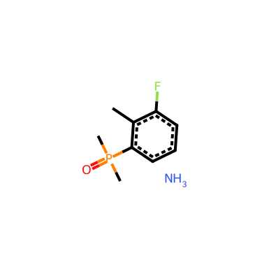 Cc1c(F)cccc1P(C)(C)=O.N